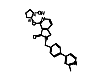 Cc1cc(-c2ccc(CN3Cc4ccnc(O[C@H]5CCC[C@@H]5O)c4C3=O)cc2)ccn1